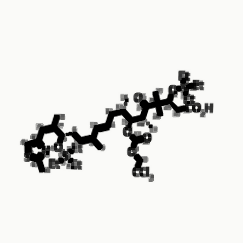 CC[Si](CC)(CC)O[C@@H](CC=C(C)C=CC[C@H](C)[C@H](OC(=O)OCC(Cl)(Cl)Cl)[C@@H](C)C(=O)C(C)(C)[C@H](CC(=O)O)O[Si](CC)(CC)CC)C(C)=Cc1csc(C)n1